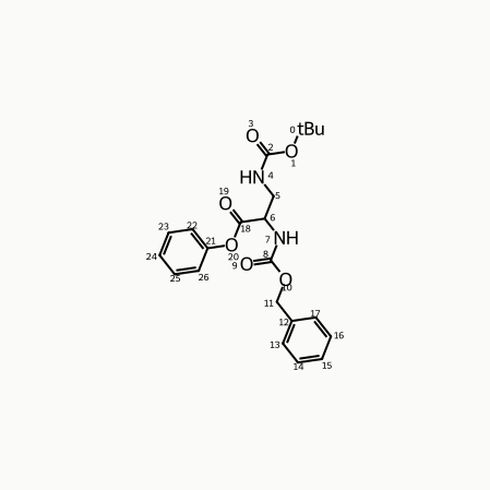 CC(C)(C)OC(=O)NCC(NC(=O)OCc1ccccc1)C(=O)Oc1ccccc1